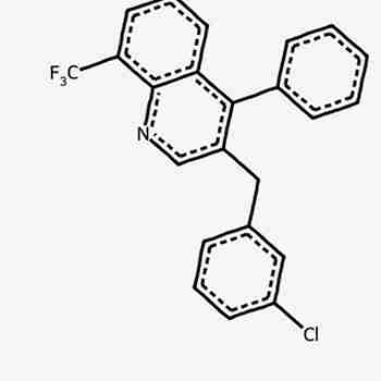 FC(F)(F)c1cccc2c(-c3ccccc3)c(Cc3cccc(Cl)c3)cnc12